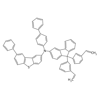 C=Cc1cccc(C2(c3cccc(C=C)c3)c3ccccc3-c3cc(N(c4ccc(-c5ccccc5)cc4)c4ccc5sc6ccc(-c7ccccc7)cc6c5c4)ccc32)c1